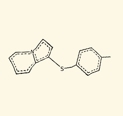 Cc1ccc(Sc2ccn3ccccc23)cc1